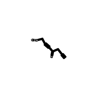 C#CCC(=O)C#CC[C]=O